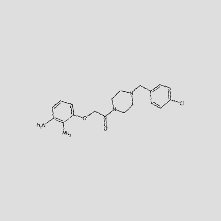 Nc1cccc(OCC(=O)N2CCN(Cc3ccc(Cl)cc3)CC2)c1N